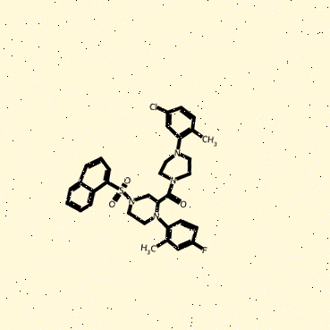 Cc1ccc(Cl)cc1N1CCN(C(=O)C2CN(S(=O)(=O)c3cccc4ccccc34)CCN2c2ccc(F)cc2C)CC1